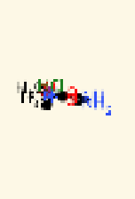 CCOC(=O)C(=NCc1ccc(C(=O)Oc2ccc(C(=N)N)cc2)cc1)N(C)Cc1ccccc1.Cl